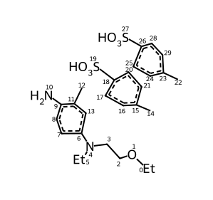 CCOCCN(CC)c1ccc(N)c(C)c1.Cc1ccc(S(=O)(=O)O)cc1.Cc1ccc(S(=O)(=O)O)cc1